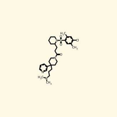 Cc1cc(S(=O)(=O)N2CCCCC2CCC(=O)N2CCC(CCCN(C)C)(c3cccnc3)CC2)c(C)cc1Cl